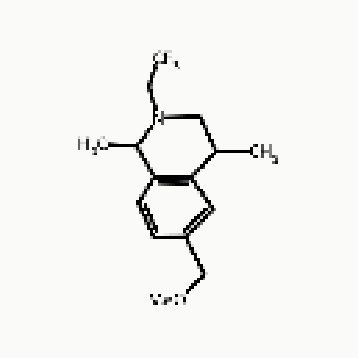 COCc1ccc2c(c1)C(C)CN(CC(F)(F)F)C2C